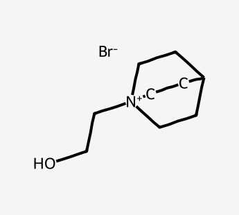 OCC[N+]12CCC(CC1)CC2.[Br-]